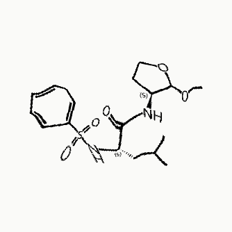 COC1OCC[C@@H]1NC(=O)[C@H](CC(C)C)NS(=O)(=O)c1ccccc1